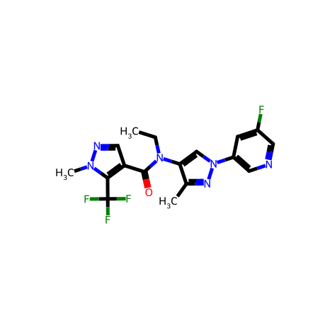 CCN(C(=O)c1cnn(C)c1C(F)(F)F)c1cn(-c2cncc(F)c2)nc1C